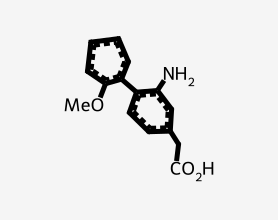 COc1ccccc1-c1ccc(CC(=O)O)cc1N